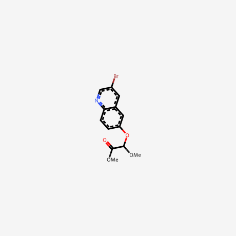 COC(=O)C(OC)Oc1ccc2ncc(Br)cc2c1